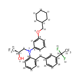 O[C@H](CN(c1cccc(OCC2CCCCC2)c1)c1ccccc1Cc1cccc(C(F)(F)C(F)(F)F)c1)C(F)(F)F